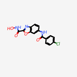 O=C(Nc1ccc2nc(C(=O)NO)oc2c1)c1ccc(Cl)cc1